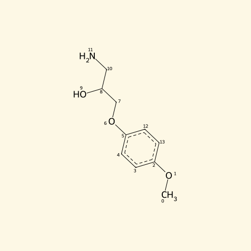 COc1ccc(OCC(O)CN)cc1